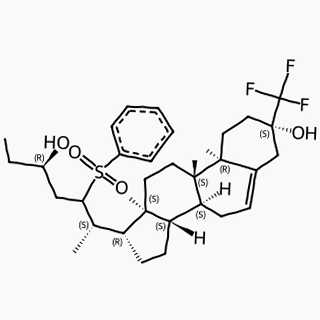 CC[C@@H](O)CC([C@@H](C)[C@H]1CC[C@H]2[C@@H]3CC=C4C[C@](O)(C(F)(F)F)CC[C@]4(C)[C@@]3(C)CC[C@]12C)S(=O)(=O)c1ccccc1